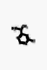 CN(C)c1cc(Cl)ncn1